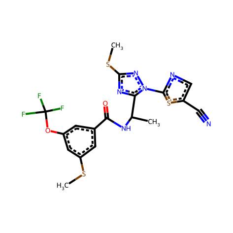 CSc1cc(OC(F)(F)F)cc(C(=O)NC(C)c2nc(SC)nn2-c2ncc(C#N)s2)c1